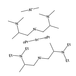 CC(C[N-]CC(C)N(C)C)N(C)C.CCN(CC)C(C)C[N-]CC(C)N(CC)CC.CC[CH2][In+][CH2]CC.[CH3][Al+][CH3]